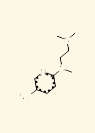 CN(C)CCN(C)c1ccc(C#N)cn1